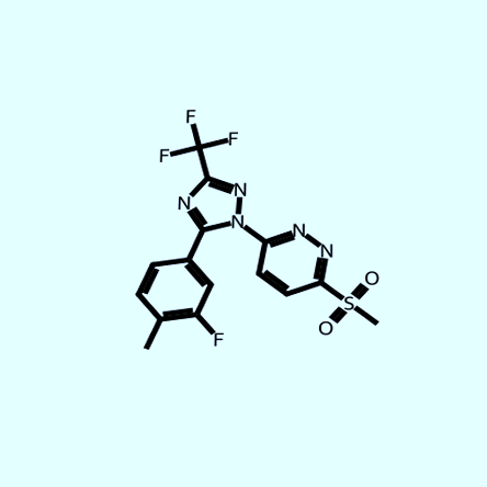 Cc1ccc(-c2nc(C(F)(F)F)nn2-c2ccc(S(C)(=O)=O)nn2)cc1F